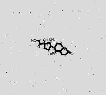 CCCC1=C2CCC(=O)C=C2CCC1C1CC[C@](O)(C(=O)CO)[C@@H]1C